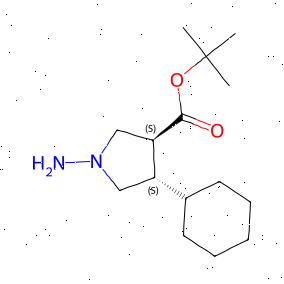 CC(C)(C)OC(=O)[C@@H]1CN(N)C[C@H]1C1CCCCC1